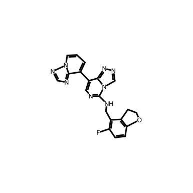 Fc1ccc2c(c1CNc1ncc(-c3cccn4ncnc34)c3nncn13)CCO2